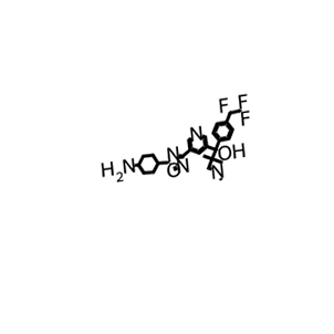 CN1CC(C)(C(O)(c2ccc(C(F)C(F)F)cc2)c2cncc(-c3noc(C4CCC(N)CC4)n3)c2)C1